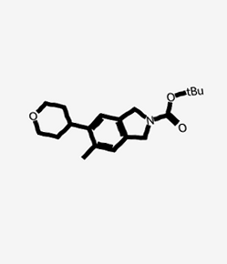 Cc1cc2c(cc1C1CCOCC1)CN(C(=O)OC(C)(C)C)C2